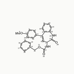 COc1ccc(C2=NC(NC(=O)OCc3ccccc3)C(=O)Nc3ccccc32)cn1